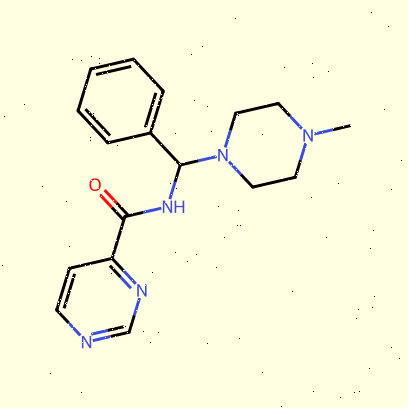 CN1CCN(C(NC(=O)c2ccncn2)c2ccccc2)CC1